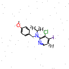 [2H]c1cnc(N(Cc2ccc(OC)cc2)C([2H])[2H])c(Cl)c1I